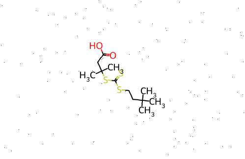 CC(C)(C)CCSC(=S)SC(C)(C)CC(=O)O